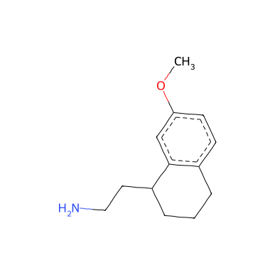 COc1ccc2c(c1)C(CCN)CCC2